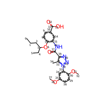 CCCC(CC)Oc1ccc(C(=O)O)cc1NC(=O)c1nnn(-c2cc(OC)ccc2OC)c1C